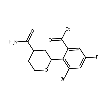 CCC(=O)c1cc(F)cc(Br)c1C1CC(C(N)=O)CCO1